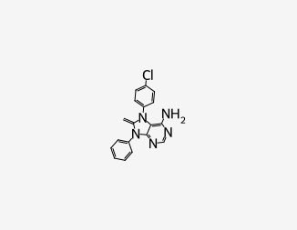 C=C1N(c2ccccc2)c2ncnc(N)c2N1c1ccc(Cl)cc1